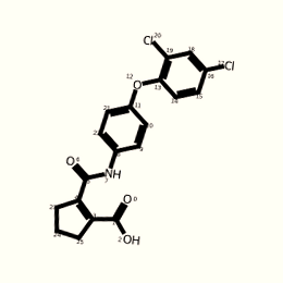 O=C(O)C1=C(C(=O)Nc2ccc(Oc3ccc(Cl)cc3Cl)cc2)CCC1